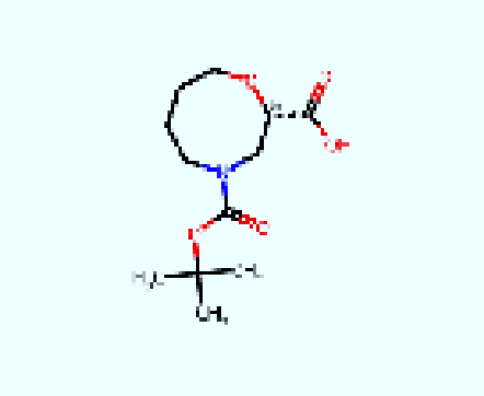 CC(C)(C)OC(=O)N1CCCCO[C@H](C(=O)O)C1